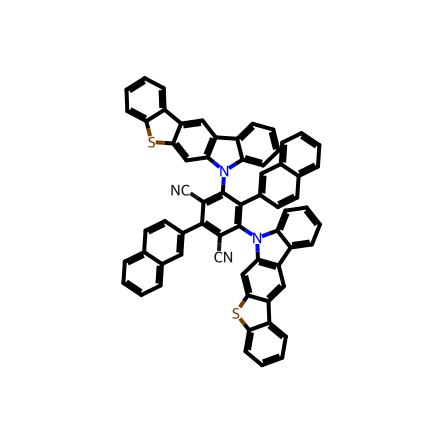 N#Cc1c(-c2ccc3ccccc3c2)c(C#N)c(-n2c3ccccc3c3cc4c(cc32)sc2ccccc24)c(-c2ccc3ccccc3c2)c1-n1c2ccccc2c2cc3c(cc21)sc1ccccc13